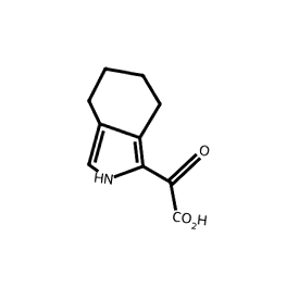 O=C(O)C(=O)c1[nH]cc2c1CCCC2